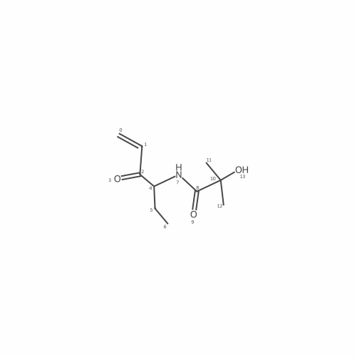 C=CC(=O)C(CC)NC(=O)C(C)(C)O